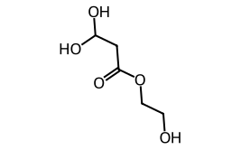 O=C(CC(O)O)OCCO